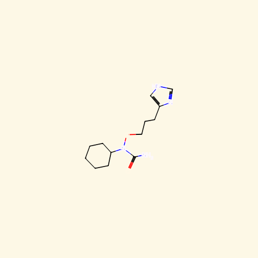 NC(=O)N(OCCCc1c[nH]cn1)C1CCCCC1